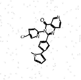 Cn1cccc1-c1ccc(-c2nc3ccncc3c(=O)n2-c2ccc(Cl)cn2)cc1